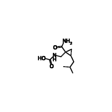 CC(C)CC1CC1(CNC(=O)O)C(N)=O